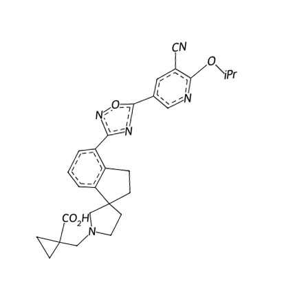 CC(C)Oc1ncc(-c2nc(-c3cccc4c3CCC43CCN(CC4(C(=O)O)CC4)C3)no2)cc1C#N